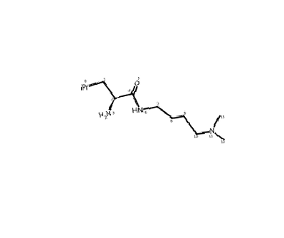 CC(C)C[C@H](N)C(=O)NCCCCN(C)C